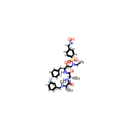 CC(C)CN(C[C@H](O)[C@H](Cc1ccccc1)NC(=O)[C@@H](NC(=O)C(N(Cc1cccc(F)c1)C(=O)O)C(C)(C)C)C(C)(C)C)S(=O)(=O)c1ccc(C=NO)cc1